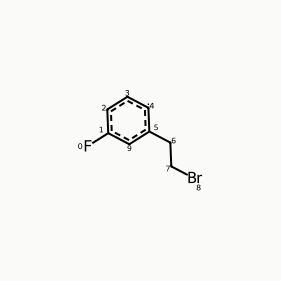 Fc1cc[c]c(CCBr)c1